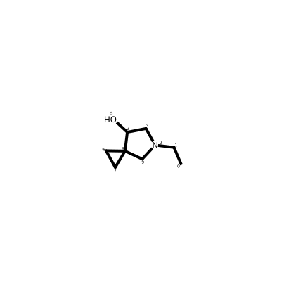 CCN1CC(O)C2(CC2)C1